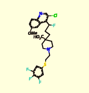 COc1ccc2ncc(Cl)c(C(F)CCC3(C(=O)O)CCN(CCSc4cc(F)c(F)c(F)c4)CC3)c2c1